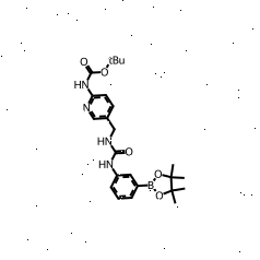 CC(C)(C)OC(=O)Nc1ccc(CNC(=O)Nc2cccc(B3OC(C)(C)C(C)(C)O3)c2)cn1